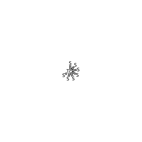 [S]=[Tc](=[S])(=[S])(=[S])(=[S])(=[S])=[S]